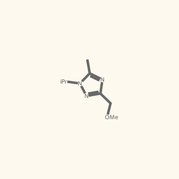 COCc1nc(C)n(C(C)C)n1